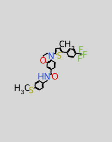 CSc1ccc(CNC(=O)c2ccc3c(c2)OCCN3c2cc(C)c(-c3ccc(C(F)(F)F)cc3)s2)cc1